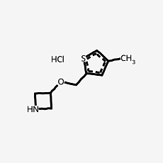 Cc1csc(COC2CNC2)c1.Cl